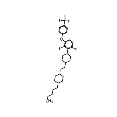 CCCCC[C@H]1CC[C@H](CCC2CCC(c3c(F)c[c]c(Oc4ccc(C(F)(F)F)cc4)c3F)CC2)CC1